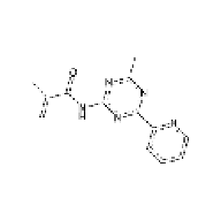 C=C(C)C(=O)Nc1nc(C)nc(-c2ccccn2)n1